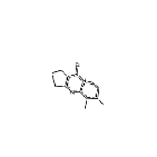 Cc1ccn2c(=O)c3c(nc2c1C)CCC3